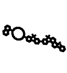 CC1(C)c2cc(-c3ccccccc(-c4cccc5ccccc45)cccccc3)ccc2-c2ccc(-c3ccc4c(c3)C(C)(C)c3ccc5c(ccc6c7ccccc7sc56)c3-4)cc21